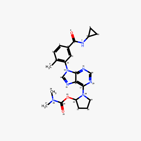 Cc1ccc(C(=O)NC2CC2)cc1-n1cnc2c(N3CCCC3OC(=O)N(C)C)ncnc21